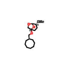 CO[C@@H]1CC[C@]2(OCC3CCCCCCC3)COC1O2